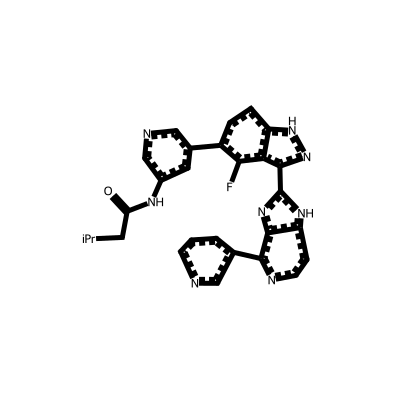 CC(C)CC(=O)Nc1cncc(-c2ccc3[nH]nc(-c4nc5c(-c6cccnc6)nccc5[nH]4)c3c2F)c1